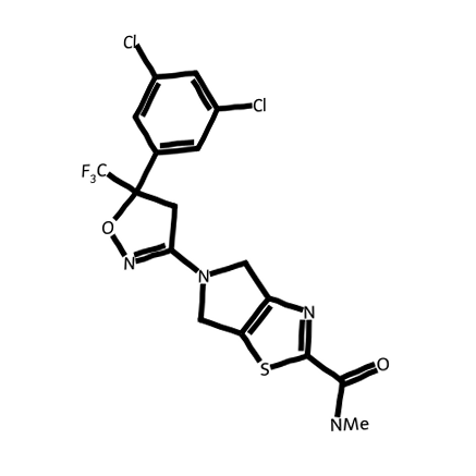 CNC(=O)c1nc2c(s1)CN(C1=NOC(c3cc(Cl)cc(Cl)c3)(C(F)(F)F)C1)C2